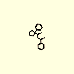 O=C(CC(=O)C1(c2ccccc2)CCCC1)c1ccccc1